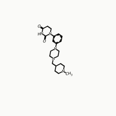 CN1CCC(CN2CCN(c3cccc(N4CCC(=O)NC4=O)c3)CC2)CC1